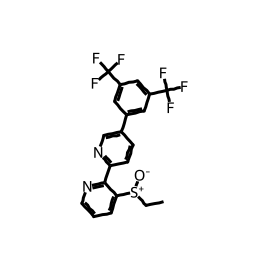 CC[S+]([O-])c1cccnc1-c1ccc(-c2cc(C(F)(F)F)cc(C(F)(F)F)c2)cn1